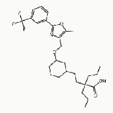 CCCC(CCC)(CCC1CCCC(OCc2nc(-c3cccc(C(F)(F)F)c3)oc2C)C1)C(=O)O